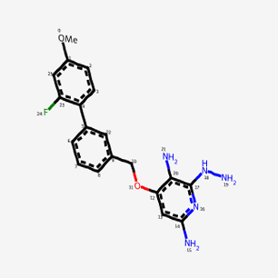 COc1ccc(-c2cccc(COc3cc(N)nc(NN)c3N)c2)c(F)c1